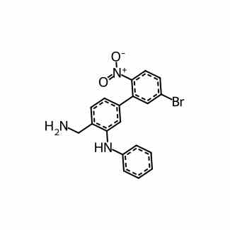 NCc1ccc(-c2cc(Br)ccc2[N+](=O)[O-])cc1Nc1ccccc1